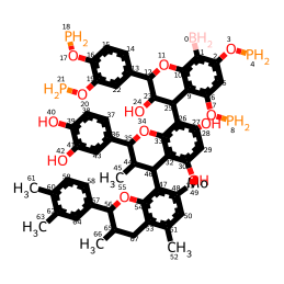 Bc1c(OP)cc(OP)c2c1OC(c1ccc(OP)c(OP)c1)C(O)C2c1c(O)cc(O)c2c1OC(c1ccc(O)c(O)c1)C(C)C2c1[c]([Mo])cc(C)c2c1OC(c1ccc(C)c(C)c1)C(C)C2